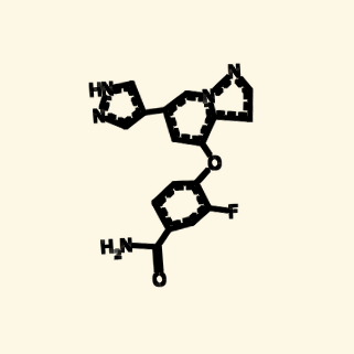 NC(=O)c1ccc(Oc2cc(-c3cn[nH]c3)cn3nccc23)c(F)c1